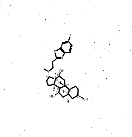 CC(CCc1nc2ccc(F)cc2s1)[C@H]1CC[C@H]2[C@@H]3[C@H](O)C[C@@H]4C[C@H](O)CC[C@]4(C)[C@H]3C[C@H](O)[C@]12C